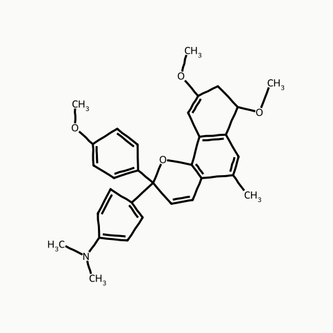 COC1=Cc2c(cc(C)c3c2OC(c2ccc(OC)cc2)(c2ccc(N(C)C)cc2)C=C3)C(OC)C1